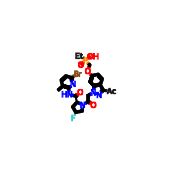 CCP(=O)(O)COc1ccc2c(C(C)=O)nn(CC(=O)N3C[C@H](F)C[C@H]3C(=O)Nc3nc(Br)ccc3C)c2c1